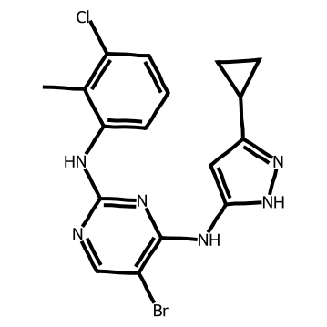 Cc1c(Cl)cccc1Nc1ncc(Br)c(Nc2cc(C3CC3)n[nH]2)n1